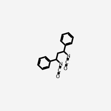 O=C=NC(CC(N=C=O)c1ccccc1)c1ccccc1